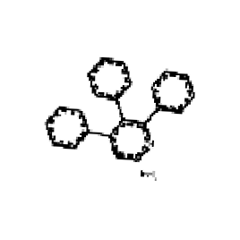 [InH3].c1ccc(-c2ccnc(-c3ccccc3)c2-c2ccccc2)cc1